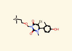 CCc1c(-c2ccc(O)cc2C)n(C)c(=O)n(COCC[Si](C)(C)C)c1=O